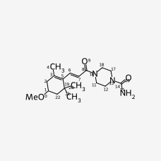 COC1CC(C)=C(C=CC(=O)N2CCN(C(N)=O)CC2)C(C)(C)C1